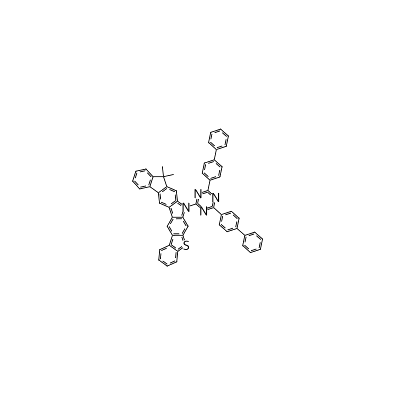 CC1(C)c2ccccc2-c2cc3c4cc5c(cc4n(-c4nc(-c6ccc(-c7ccccc7)cc6)nc(-c6ccc(-c7ccccc7)cc6)n4)c3cc21)sc1ccccc15